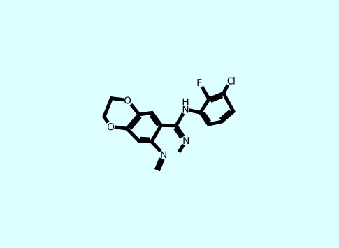 C=Nc1cc2c(cc1/C(=N\C)Nc1cccc(Cl)c1F)OCCO2